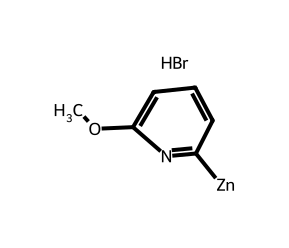 Br.COc1ccc[c]([Zn])n1